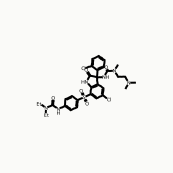 CCN(CC)C(=O)Nc1ccc(S(=O)(=O)c2cc(Cl)cc3c2NC(=O)C3(NC(=O)N(C)CCN(C)C)c2ccccc2Cl)cc1